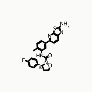 Cc1ccc(-c2ccc3nc(N)sc3n2)cc1NC(=O)N1OCC[C@H]1c1ccc(F)cc1